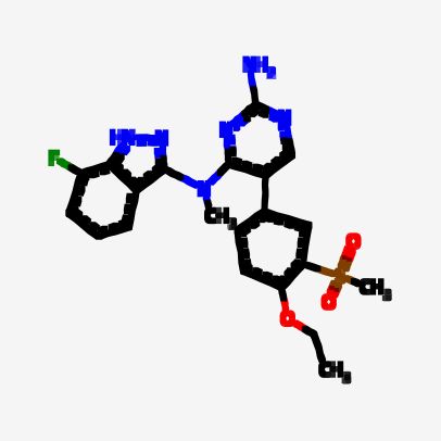 CCOc1ccc(-c2cnc(N)nc2N(C)c2n[nH]c3c(F)cccc23)cc1S(C)(=O)=O